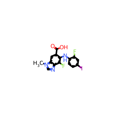 Cn1cnc2c(F)c(Nc3ccc(I)cc3F)c(C(=O)O)cc21